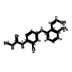 CCNC(=O)Nc1ccc(Oc2ncnc(N)c2/C=N\O)cc1Cl